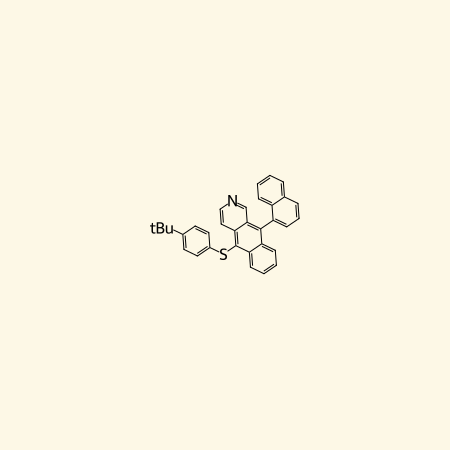 CC(C)(C)c1ccc(Sc2c3ccccc3c(-c3cccc4ccccc34)c3cnccc23)cc1